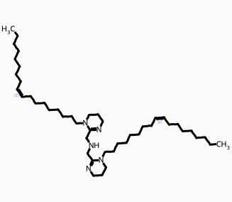 CCCCCCCC/C=C\CCCCCCCCN1CCCN=C1CNCC1=NCCCN1CCCCCCCC/C=C\CCCCCCCC